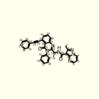 Cc1nn2cccnc2c1C(=O)N[C@@H](C)c1nc2cccc(C#Cc3ccncc3)c2c(=O)n1-c1ccccc1